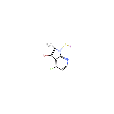 Cc1c(Br)c2c(F)ccnc2n1SI